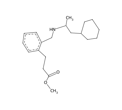 COC(=O)CCc1ccccc1CNC(C)CC1CCCCC1